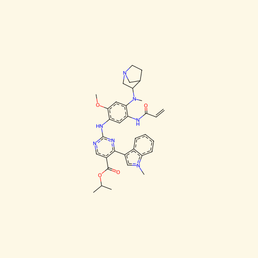 C=CC(=O)Nc1cc(Nc2ncc(C(=O)OC(C)C)c(-c3cn(C)c4ccccc34)n2)c(OC)cc1N(C)C1CN2CCC1C2